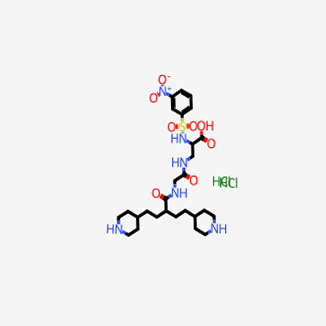 Cl.Cl.O=C(CNC(=O)C(CCC1CCNCC1)CCC1CCNCC1)NCC(NS(=O)(=O)c1cccc([N+](=O)[O-])c1)C(=O)O